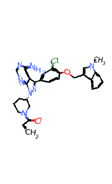 C=CC(=O)N1CCC[C@@H](n2nc(-c3ccc(OCc4cn(C)c5ccccc45)c(Cl)c3)c3c(N)ncnc32)C1